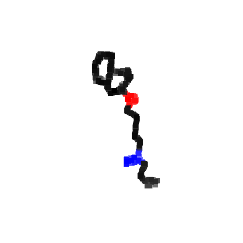 CC(C)CCNCCCCOc1ccc2ccccc2c1